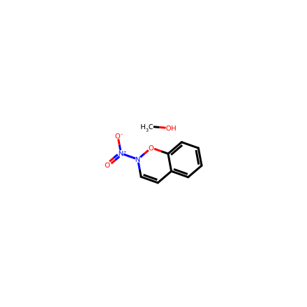 CO.O=[N+]([O-])N1C=Cc2ccccc2O1